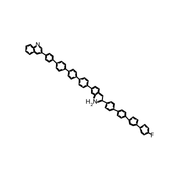 C=c1cc(-c2ccc(-c3ccc(-c4ccc(-c5ccc(-c6cnc7ccccc7c6)cc5)cc4)cc3)cc2)cc/c1=C/C(=C\N)c1ccc(-c2ccc(-c3ccc(-c4ccc(F)cc4)cc3)cc2)cc1